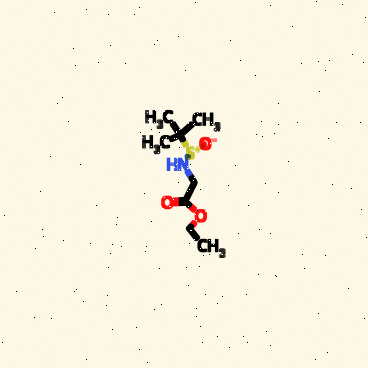 CCOC(=O)CN[S+]([O-])C(C)(C)C